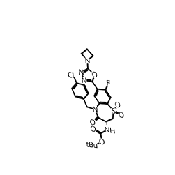 CC(C)(C)OC(=O)N[C@H]1CS(=O)(=O)c2cc(F)c(-c3nnc(N4CCC4)o3)cc2N(Cc2ccc(Cl)cc2)C1=O